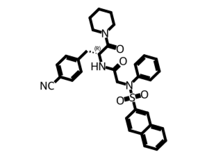 N#Cc1ccc(C[C@@H](NC(=O)CN(c2ccccc2)S(=O)(=O)c2ccc3ccccc3c2)C(=O)N2CCCCC2)cc1